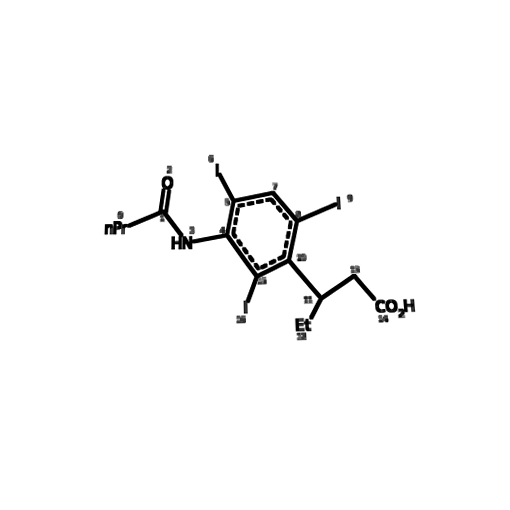 CCCC(=O)Nc1c(I)cc(I)c(C(CC)CC(=O)O)c1I